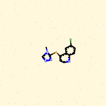 Cn1cnnc1Sc1ccnc2ccc(Br)cc12